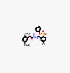 COc1ccc(OC)c(CC(=O)NN=Cc2cc(C(F)(F)F)ccc2S(=O)(=O)Oc2ccccc2)c1